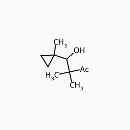 CC(=O)C(C)(C)C(O)C1(C)CC1